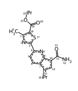 Cc1nc(-c2ccc3c(n2)c(C(N)=O)cn3C(C)C)sc1C(=O)OC(C)C